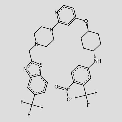 O=[N+]([O-])c1ccc(N[C@H]2CC[C@H](Oc3ccnc(N4CCN(Cc5nc6cc(C(F)(F)F)ccc6s5)CC4)c3)CC2)cc1C(F)(F)F